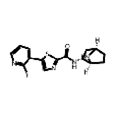 O=C(N[C@@H]1C[C@H]2CC[C@@H]1N2)c1ncc(-c2cccnc2F)s1